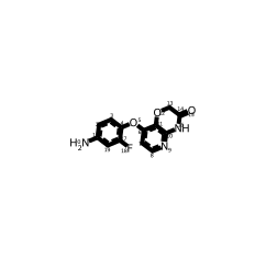 Nc1ccc(Oc2ccnc3c2OCC(=O)N3)c(F)c1